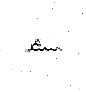 [CH2]C(CCCCCCCC)OC(C)=O